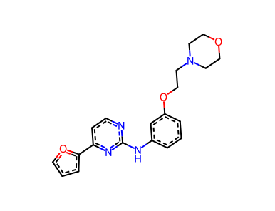 c1cc(Nc2nccc(-c3ccco3)n2)cc(OCCN2CCOCC2)c1